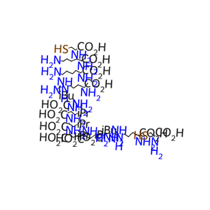 CC(C)C[C@H](N)C(=O)O.CC(C)C[C@H](N)C(=O)O.CC(C)C[C@H](N)C(=O)O.CC(C)C[C@H](N)C(=O)O.CC[C@H](C)[C@H](N)C(=O)O.CC[C@H](C)[C@H](N)C(=O)O.N=C(N)NCCC[C@H](N)C(=O)O.N=C(N)NCCC[C@H](N)C(=O)O.NCCCC[C@H](N)C(=O)O.NCCCC[C@H](N)C(=O)O.N[C@@H](CS)C(=O)O.N[C@@H](CS)C(=O)O